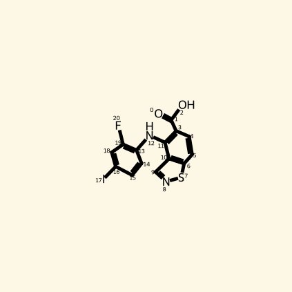 O=C(O)c1ccc2sncc2c1Nc1ccc(I)cc1F